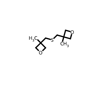 CC1(CSCC2(C)COC2)COC1